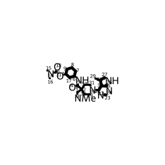 CNCC1(C(=O)Nc2cccc(OC(=O)N(C)C)c2)CCN(c2ncnc3[nH]cc(C)c23)CC1